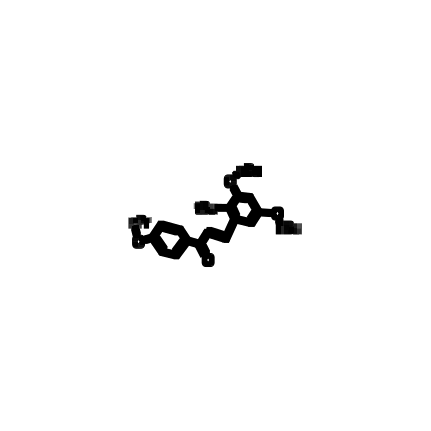 CCCCOc1cc(C=CC(=O)c2ccc(OCCC)cc2)c(C(C)(C)C)c(OCCCC)c1